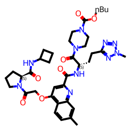 CCCCOC(=O)N1CCN(C(=O)[C@H](CCc2nnn(C)n2)NC(=O)c2cc(OCC(=O)N3CCC[C@H]3C(=O)NC3CCC3)c3ccc(C)cc3n2)CC1